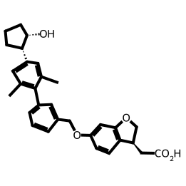 Cc1cc([C@@H]2CCC[C@@H]2O)cc(C)c1-c1cccc(COc2ccc3c(c2)OC[C@H]3CC(=O)O)c1